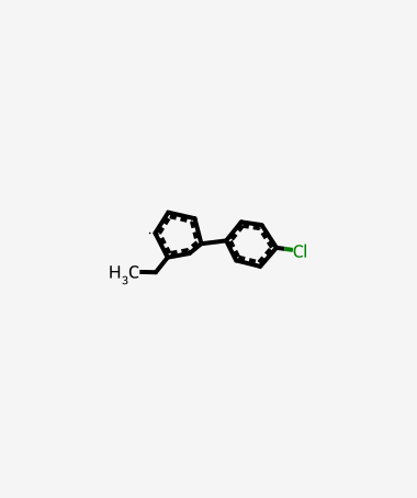 CCc1[c]ccc(-c2ccc(Cl)cc2)c1